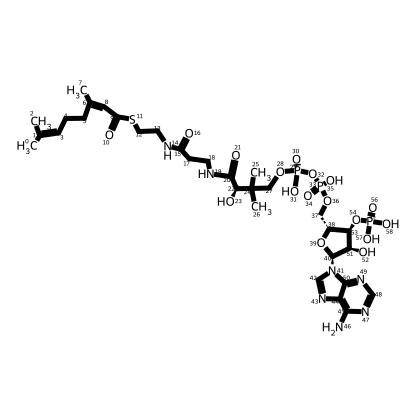 CC(C)=CCC/C(C)=C\C(=O)SCCNC(=O)CCNC(=O)[C@H](O)C(C)(C)COP(=O)(O)OP(=O)(O)OC[C@H]1O[C@@H](n2cnc3c(N)ncnc32)[C@H](O)[C@@H]1OP(=O)(O)O